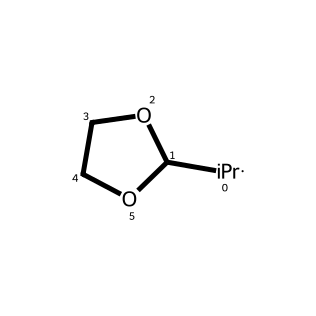 C[C](C)C1OCCO1